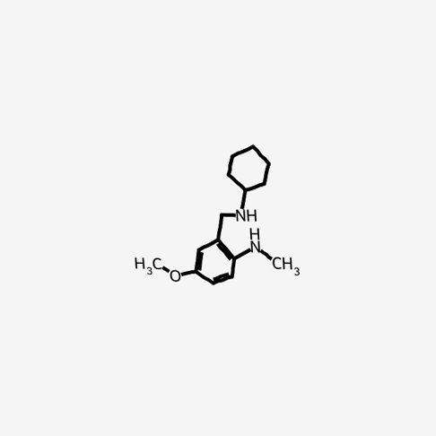 CNc1ccc(OC)cc1CNC1CCCCC1